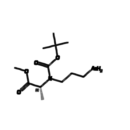 COC(=O)[C@@H](C)N(CCC[AsH2])C(=O)OC(C)(C)C